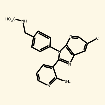 Nc1ncccc1-c1nc2cc(Cl)cnc2n1-c1ccc(CNC(=O)O)cc1